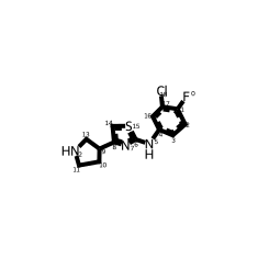 Fc1ccc(Nc2nc(C3CCNC3)cs2)cc1Cl